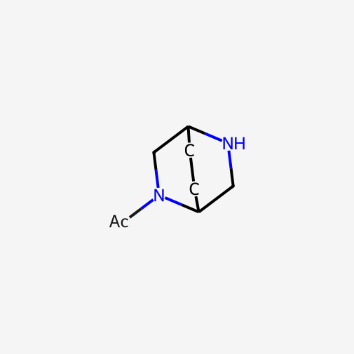 CC(=O)N1CC2CCC1CN2